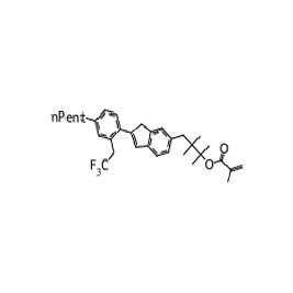 C=C(C)C(=O)OC(C)(C)C(C)(C)Cc1ccc2c(c1)CC(c1ccc(CCCCC)cc1CC(F)(F)F)=C2